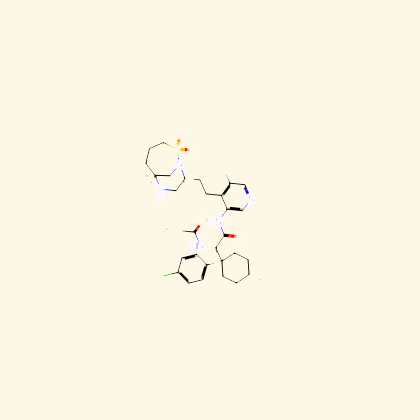 COC(=O)N[C@H](C(=O)Nc1cncc(F)c1CC[C@H]1CN[C@@H]2CCCS(=O)(=O)N1C2)[C@]1(c2ccc(Cl)cc2)CC[C@H](C(F)(F)F)CC1